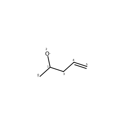 [CH2]C([O])CC=C